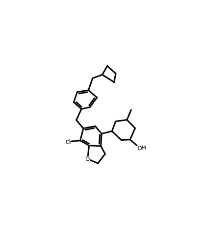 CC1CC(O)CC(c2cc(Cc3ccc(CC4CCC4)cc3)c(Cl)c3c2CCO3)C1